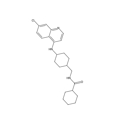 O=C(NCC1CCC(Nc2ccnc3cc(Cl)ccc23)CC1)C1CCCCC1